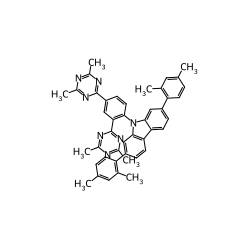 Cc1ccc(-c2ccc3c4ccc(-c5ccc(C)cc5C)cc4n(-c4ccc(-c5nc(C)nc(C)n5)cc4-c4nc(C)nc(C)n4)c3c2)c(C)c1